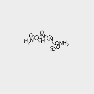 COc1cc(N)c(Cl)cc1C(=O)NCC1CCN(CCC(OC(N)=O)c2cccs2)CC1